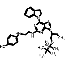 CCC(CO[Si](C)(C)C(C)(C)C)n1cnc2c(N3CCc4ccccc43)nc(NCCNc3ccc(O)cc3)nc21